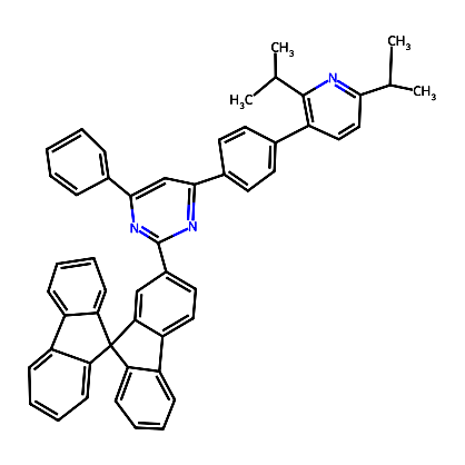 CC(C)c1ccc(-c2ccc(-c3cc(-c4ccccc4)nc(-c4ccc5c(c4)C4(c6ccccc6-c6ccccc64)c4ccccc4-5)n3)cc2)c(C(C)C)n1